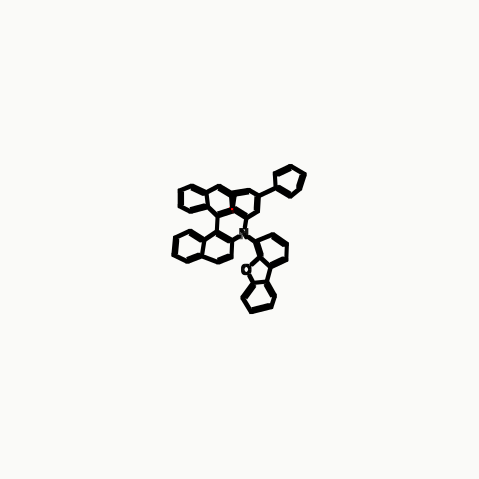 c1ccc(-c2cccc(N(c3ccc4ccccc4c3-c3cccc4ccccc34)c3cccc4c3oc3ccccc34)c2)cc1